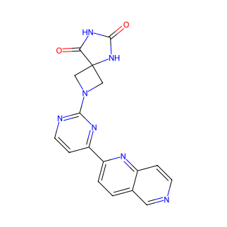 O=C1NC(=O)C2(CN(c3nccc(-c4ccc5cnccc5n4)n3)C2)N1